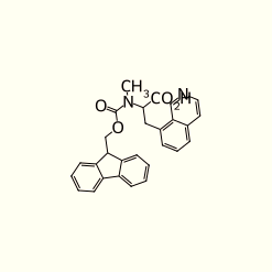 CN(C(=O)OCC1c2ccccc2-c2ccccc21)C(Cc1cccc2ccncc12)C(=O)O